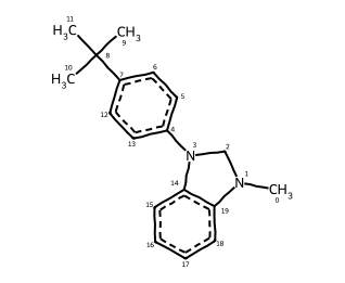 CN1CN(c2ccc(C(C)(C)C)cc2)c2ccccc21